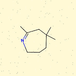 CC1=NCCCC(C)(C)C1